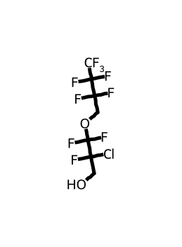 OCC(F)(Cl)C(F)(F)OCC(F)(F)C(F)(F)C(F)(F)F